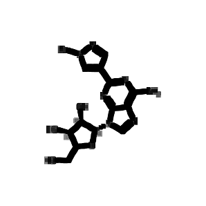 CC(C)n1cc(-c2nc(N)c3ncn([C@@H]4OC(CO)[C@@H](O)[C@H]4O)c3n2)cn1